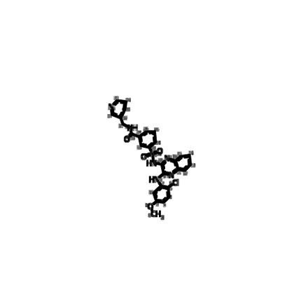 COc1ccc(Cl)c(Nc2nc3ccccc3nc2NS(=O)(=O)c2cccc(C(=O)NCc3cccnc3)c2)c1